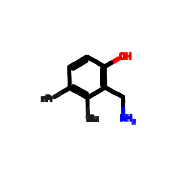 CCCc1ccc(O)c(CN)c1C(C)(C)C